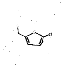 [S]Cc1ccc(Cl)s1